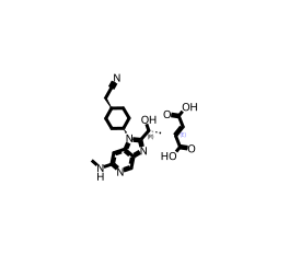 CNc1cc2c(cn1)nc([C@@H](C)O)n2[C@H]1CC[C@H](CC#N)CC1.O=C(O)/C=C/C(=O)O